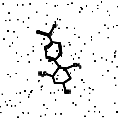 CC1CC(O)CC(C)N1c1ccc([N+](=O)[O-])nc1